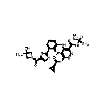 BC(B)(B)NC(=O)c1nnc(NC(=O)C2CC2)cc1Nc1cccc(-c2ncc(C(=O)N3CC(C)(O)C3)s2)c1OC